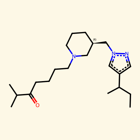 CCC(C)c1cnn(C[C@@H]2CCCN(CCCCC(=O)C(C)C)C2)c1